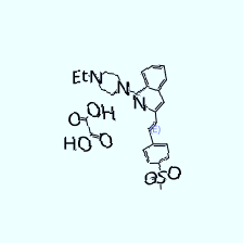 CCN1CCN(c2nc(/C=C/c3ccc(S(C)(=O)=O)cc3)cc3ccccc23)CC1.O=C(O)C(=O)O